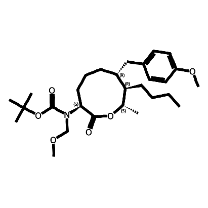 CCCC[C@@H]1[C@@H](Cc2ccc(OC)cc2)CCC[C@H](N(COC)C(=O)OC(C)(C)C)C(=O)O[C@H]1C